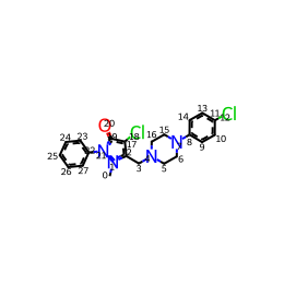 Cn1c(CN2CCN(c3ccc(Cl)cc3)CC2)c(Cl)c(=O)n1-c1ccccc1